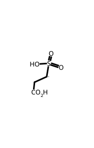 O=C(O)C[CH]S(=O)(=O)O